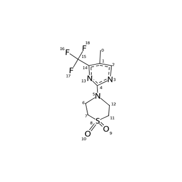 Cc1cnc(N2CCS(=O)(=O)CC2)nc1C(F)(F)F